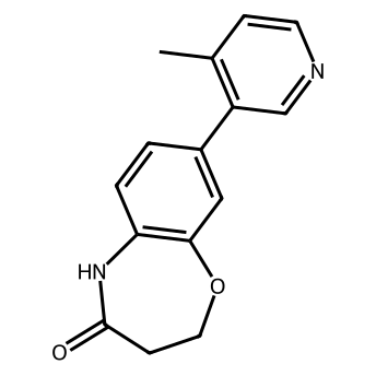 Cc1ccncc1-c1ccc2c(c1)OCCC(=O)N2